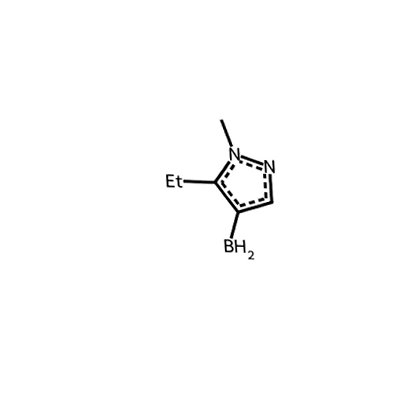 Bc1cnn(C)c1CC